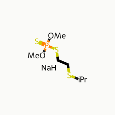 COP(=S)(OC)SCCSC(C)C.[NaH]